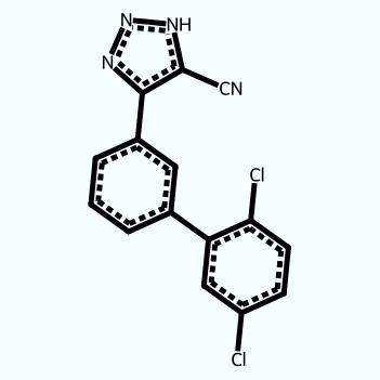 N#Cc1[nH]nnc1-c1cccc(-c2cc(Cl)ccc2Cl)c1